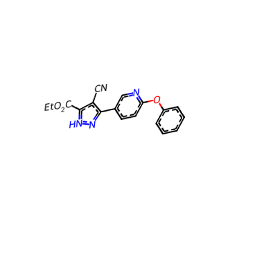 CCOC(=O)c1[nH]nc(-c2ccc(Oc3ccccc3)nc2)c1C#N